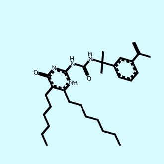 C=C(C)c1cccc(C(C)(C)NC(=O)Nc2nc(=O)c(CCCCCC)c(CCCCCCC)[nH]2)c1